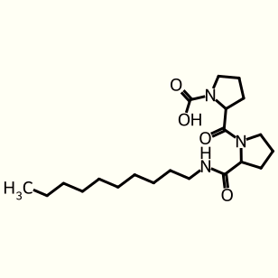 CCCCCCCCCCNC(=O)C1CCCN1C(=O)C1CCCN1C(=O)O